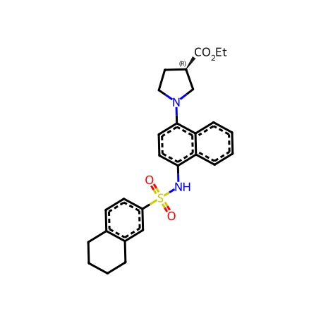 CCOC(=O)[C@@H]1CCN(c2ccc(NS(=O)(=O)c3ccc4c(c3)CCCC4)c3ccccc23)C1